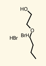 Br.Br.CCCCOCCO